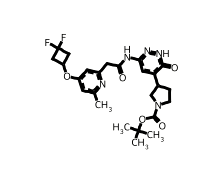 Cc1cc(OC2CC(F)(F)C2)cc(CC(=O)Nc2cc(C3CCN(C(=O)OC(C)(C)C)C3)c(=O)[nH]n2)n1